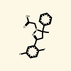 CC1(c2ccccc2)CC(c2cc(F)ccc2F)=NN1CC(=O)O